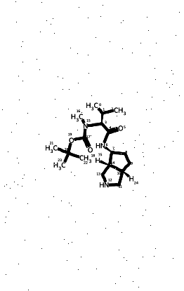 CC(C)[C@@H](C(=O)N[C@H]1CC[C@@H]2CNC[C@@H]21)N(C)C(=O)OC(C)(C)C